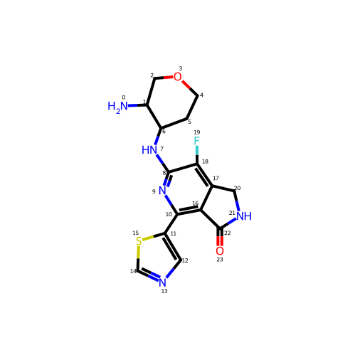 NC1COCCC1Nc1nc(-c2cncs2)c2c(c1F)CNC2=O